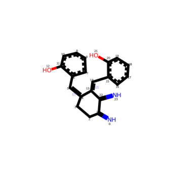 N=C1CCC(=C/c2ccccc2O)/C(=C/c2ccccc2O)C1=N